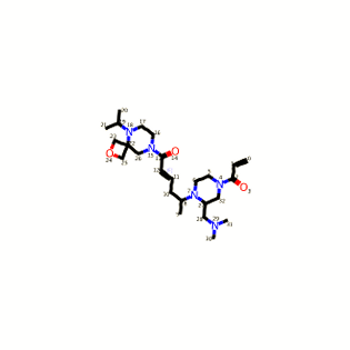 C=CC(=O)N1CCN(C(C)C/C=C/C(=O)N2CCN(C(C)C)C3(COC3)C2)C(CN(C)C)C1